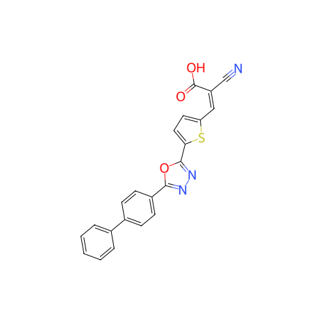 N#C/C(=C/c1ccc(-c2nnc(-c3ccc(-c4ccccc4)cc3)o2)s1)C(=O)O